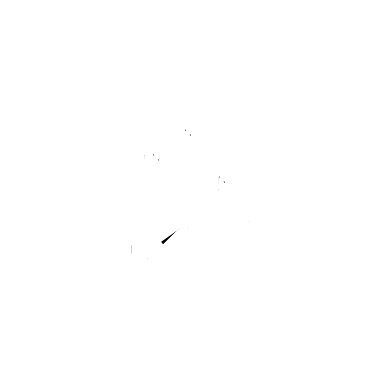 Cc1nnc2n1CC[C@H]2C(=O)O